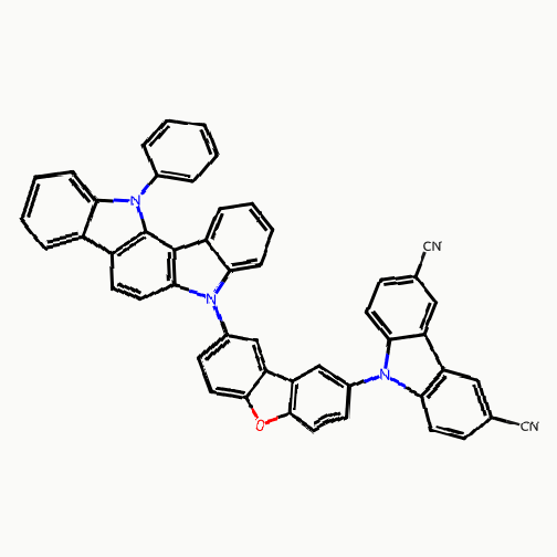 N#Cc1ccc2c(c1)c1cc(C#N)ccc1n2-c1ccc2oc3ccc(-n4c5ccccc5c5c4ccc4c6ccccc6n(-c6ccccc6)c45)cc3c2c1